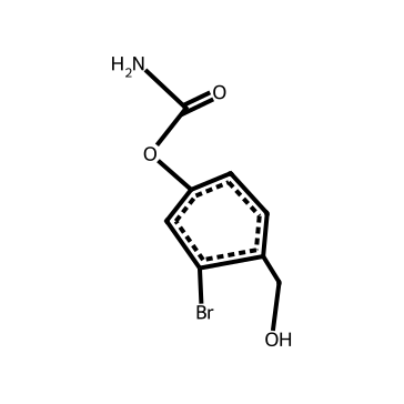 NC(=O)Oc1ccc(CO)c(Br)c1